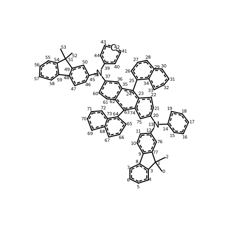 CC1(C)c2ccccc2-c2ccc(N(c3ccccc3)c3ccc4c(-c5cccc6ccccc56)c5cc(N(c6ccccc6)c6ccc7c(c6)C(C)(C)c6ccccc6-7)ccc5c(-c5cccc6ccccc56)c4c3)cc21